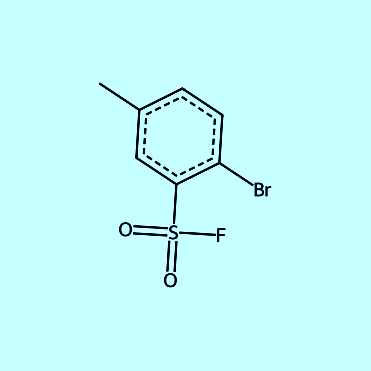 Cc1ccc(Br)c(S(=O)(=O)F)c1